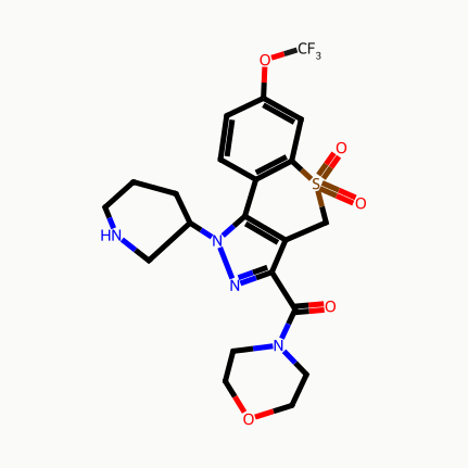 O=C(c1nn(C2CCCNC2)c2c1CS(=O)(=O)c1cc(OC(F)(F)F)ccc1-2)N1CCOCC1